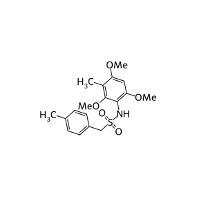 COc1cc(OC)c(NS(=O)(=O)Cc2ccc(C)cc2)c(OC)c1C